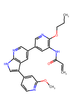 C=CC(=O)Nc1cc(-c2cnc3[nH]cc(-c4ccnc(OC)c4)c3c2)cnc1OCCC